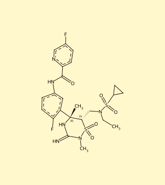 CCN(C[C@H]1[C@@](C)(c2cc(NC(=O)c3ccc(F)cn3)ccc2F)NC(=N)N(C)S1(=O)=O)S(=O)(=O)C1CC1